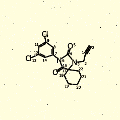 C#CCN1C(=O)N(c2cc(Cl)cc(Cl)c2)C(=O)C12CCCCC2